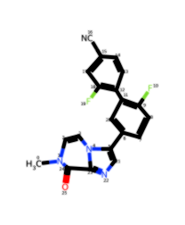 Cn1ccn2c(-c3ccc(F)c(-c4ccc(C#N)cc4F)c3)cnc2c1=O